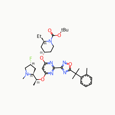 CC[C@@H]1C[C@@H](Oc2cc(O[C@@H](C)[C@@H]3C[C@@H](F)CN3C)nc(-c3noc(C(C)(C)c4ccccc4C)n3)n2)CCN1C(=O)OC(C)(C)C